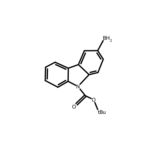 Bc1ccc2c(c1)c1ccccc1n2C(=O)OC(C)(C)C